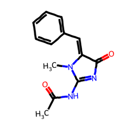 CC(=O)NC1=NC(=O)C(=Cc2ccccc2)N1C